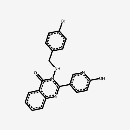 O=c1c2ccccc2nc(-c2ccc(O)nc2)n1NCc1ccc(Br)cc1